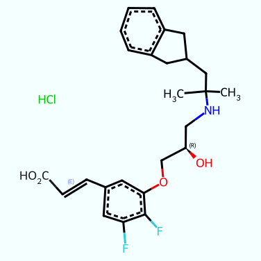 CC(C)(CC1Cc2ccccc2C1)NC[C@@H](O)COc1cc(/C=C/C(=O)O)cc(F)c1F.Cl